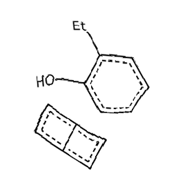 CCc1ccccc1O.c1cc2ccc1-2